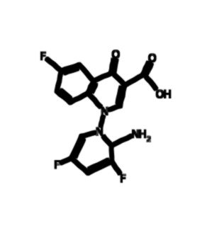 NC1C(F)=CC(F)=CN1n1cc(C(=O)O)c(=O)c2cc(F)ccc21